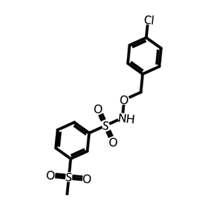 CS(=O)(=O)c1cccc(S(=O)(=O)NOCc2ccc(Cl)cc2)c1